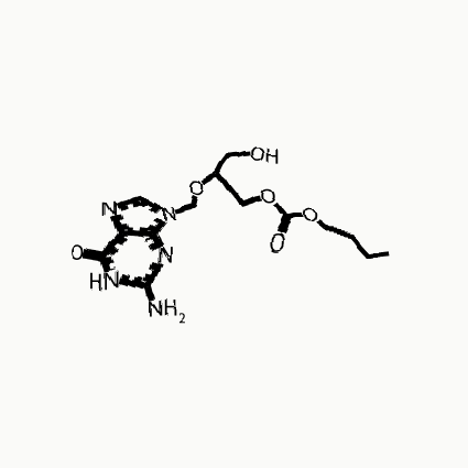 CCCCOC(=O)OCC(CO)OCn1cnc2c(=O)[nH]c(N)nc21